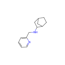 c1ccc(CNC2CC3CCC2C3)nc1